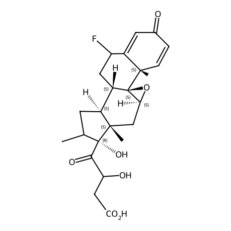 CC1C[C@H]2[C@@H]3CC(F)C4=CC(=O)C=C[C@]4(C)[C@@]34O[C@H]4C[C@]2(C)[C@@]1(O)C(=O)C(O)CC(=O)O